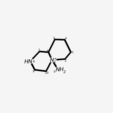 N[N+]12CCCCC1CNCC2